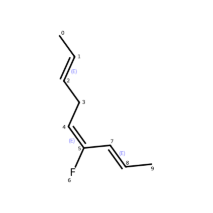 C/C=C/C/C=C(F)\C=C\C